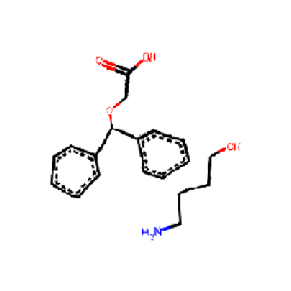 NCCCCO.O=C(O)COC(c1ccccc1)c1ccccc1